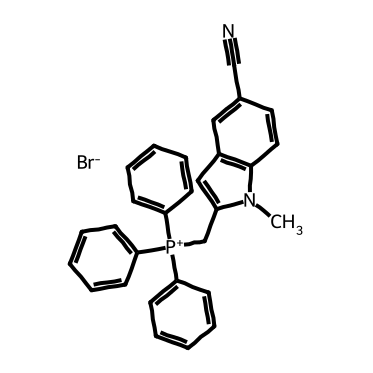 Cn1c(C[P+](c2ccccc2)(c2ccccc2)c2ccccc2)cc2cc(C#N)ccc21.[Br-]